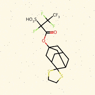 O=C(OC12CC3CC(C1)C1(SCCS1)C(C3)C2)C(F)(C(F)(F)C(F)(F)F)S(=O)(=O)O